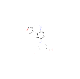 Cc1cocc1-c1cc(N(CCO)CCO)ccc1N